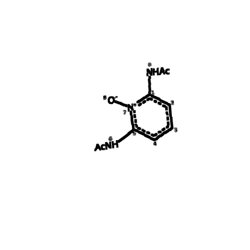 CC(=O)Nc1cccc(NC(C)=O)[n+]1[O-]